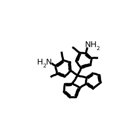 Cc1cc(C2(c3cc(C)c(N)c(C)c3)c3ccccc3-c3ccccc32)cc(C)c1N